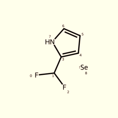 FC(F)c1ccc[nH]1.[Se]